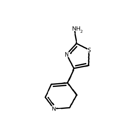 Nc1nc(C2=CC=NCC2)cs1